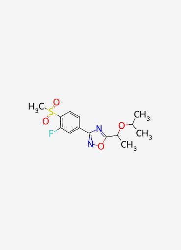 CC(C)OC(C)c1nc(-c2ccc(S(C)(=O)=O)c(F)c2)no1